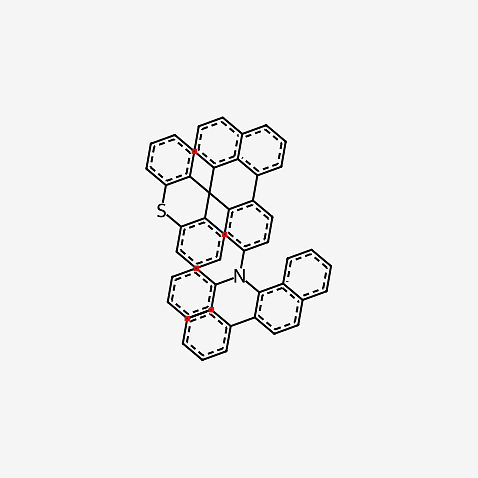 c1ccc(-c2ccc3ccccc3c2N(c2ccccc2)c2ccc3c(c2)C2(c4ccccc4Sc4ccccc42)c2cccc4cccc-3c24)cc1